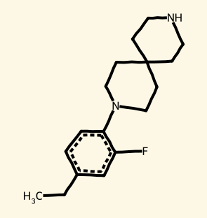 CCc1ccc(N2CCC3(CCNCC3)CC2)c(F)c1